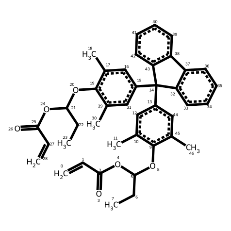 C=CC(=O)OC(CC)Oc1c(C)cc(C2(c3cc(C)c(OC(CC)OC(=O)C=C)c(C)c3)c3ccccc3-c3ccccc32)cc1C